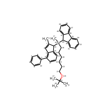 CC1=Cc2c(-c3ccccc3)cccc2C1[Si](C)(CCCCCCOC(C)(C)C)C1c2ccccc2-c2ccccc21